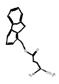 N[C@@H](CCC(=O)OCc1cccc2c1Cc1ccccc1-2)C(=O)O